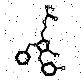 CC(C)c1nc(CCOC(N)=O)n(Cc2cccnc2)c1Sc1cccc(Cl)c1